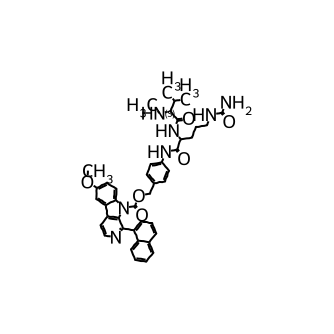 CN[C@H](C(=O)NC(CCCNC(N)=O)C(=O)Nc1ccc(COC(=O)n2c3ccc(OC)cc3c3ccnc(-c4cccc5ccccc45)c32)cc1)C(C)C